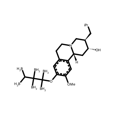 BC(B)C(B)(B)C(B)(B)Oc1cc2c(cc1OC)[C@H]1C[C@@H](O)[C@H](CC(C)C)CN1CC2